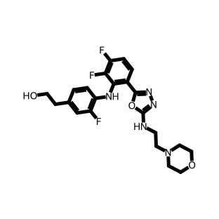 OCCc1ccc(Nc2c(-c3nnc(NCCN4CCOCC4)o3)ccc(F)c2F)c(F)c1